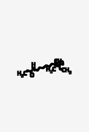 C=CC(=O)NCCCCCC[N+](C)(C)C(=O)C=C